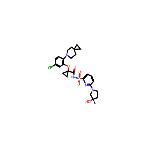 C[C@]1(O)CCN(c2cccc(S(=O)(=O)NC(=O)C3(Oc4cc(Cl)ccc4N4CCC5(CC4)CC5)CC3)n2)C1